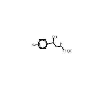 O=C(O)NCC(O)c1ccc(F)cc1